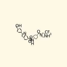 Cn1c(-c2ccc(CO)cc2)cc2ccc(S(=O)(=O)N[C@H]3CC[C@H](C(=O)N4CCN[C@H](C(F)(F)F)C4)CC3)cc21